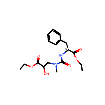 CCOC(=O)C(O)CN(C)C(=O)N[C@@H](Cc1ccccc1)C(=O)OCC